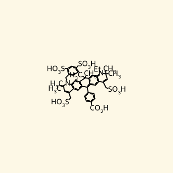 CC[N+]1=c2cc3c(cc2C(CS(=O)(=O)O)=CC1(C)C)=C(c1ccc(C(=O)O)cc1)c1cc2c(cc1C3(C)C)N(Cc1ccc(S(=O)(=O)O)cc1S(=O)(=O)O)C(C)(C)C=C2CS(=O)(=O)O